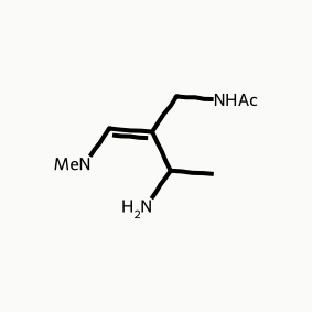 CN/C=C(/CNC(C)=O)C(C)N